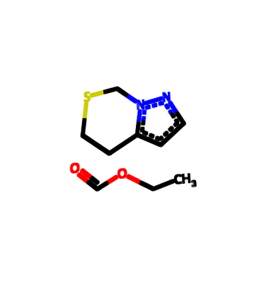 CCOC=O.c1cc2n(n1)CSCC2